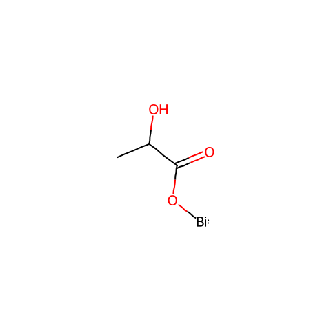 CC(O)C(=O)[O][Bi]